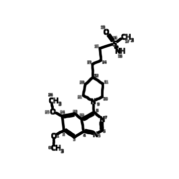 COc1cc2ncnc(N3CCC(CCCS(C)(=N)=O)CC3)c2cc1OC